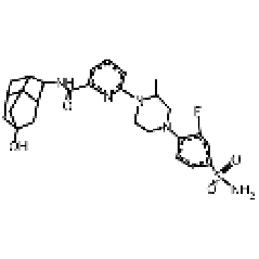 CC1CN(c2ccc(S(N)(=O)=O)cc2F)CCN1c1cccc(C(=O)NC2C3CC4CC2CC(O)(C4)C3)n1